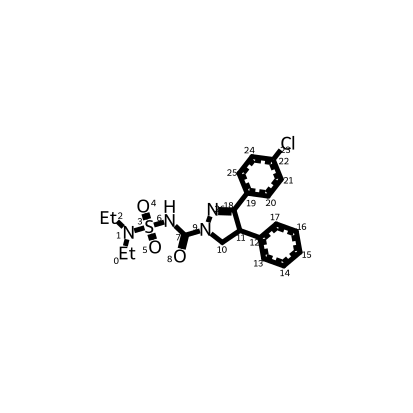 CCN(CC)S(=O)(=O)NC(=O)N1CC(c2ccccc2)C(c2ccc(Cl)cc2)=N1